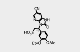 CCOc1cc([C@@H](CS(=O)(=O)O)n2c(=O)[nH]c3cc(C#N)cnc32)ccc1OC